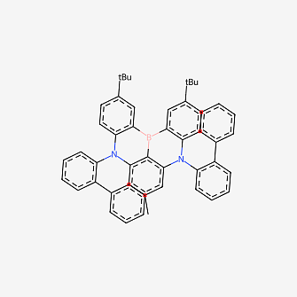 Cc1cc2c3c(c1)N(c1ccccc1-c1ccccc1)c1ccc(C(C)(C)C)cc1B3c1cc(C(C)(C)C)ccc1N2c1ccccc1-c1ccccc1